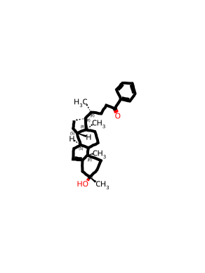 C[C@H](CCC(=O)c1ccccc1)[C@H]1CC[C@H]2[C@@H]3CC=C4C[C@@](C)(O)CC[C@]4(C)C3CC[C@]12C